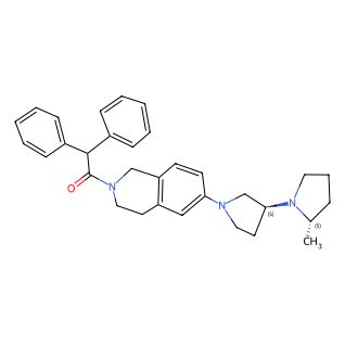 C[C@H]1CCCN1[C@H]1CCN(c2ccc3c(c2)CCN(C(=O)C(c2ccccc2)c2ccccc2)C3)C1